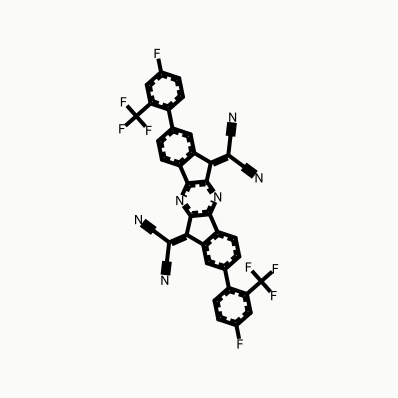 N#CC(C#N)=C1c2cc(-c3ccc(F)cc3C(F)(F)F)ccc2-c2nc3c(nc21)-c1ccc(-c2ccc(F)cc2C(F)(F)F)cc1C3=C(C#N)C#N